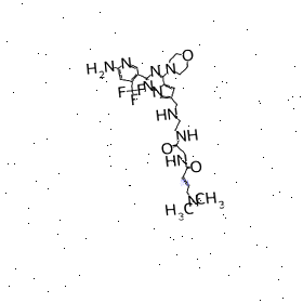 CN(C)C/C=C/C(=O)NCC(=O)NCCNCc1cc2c(N3CCOCC3)nc(-c3cnc(N)cc3C(F)(F)F)nn2c1